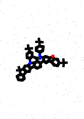 CC(C)(C)c1ccc(Nc2cc3oc4cc(C(C)(C)C)ccc4c3cc2-c2ccc3c4cc5c(cc4n4c3c2Bc2cc(C(C)(C)C)ccc2-4)C(C)(C)c2ccccc2-5)cc1